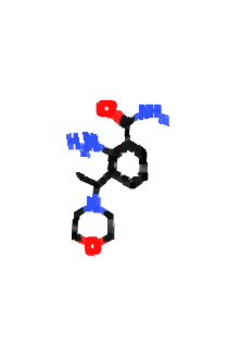 CC(c1cccc(C(N)=O)c1N)N1CCOCC1